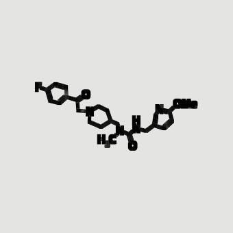 COc1ccc(CNC(=O)N(C)CC2CCN(CC(=O)c3ccc(F)cc3)CC2)cn1